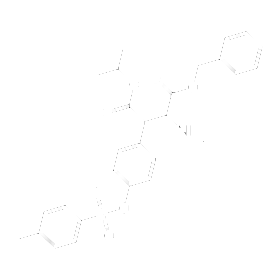 Cc1ccc(S(=O)(=O)Oc2ccc(C(C(=O)OC(C)C)C(N)C(=O)OCc3ccccc3)cc2)cc1